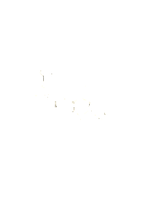 COc1cc([N+](=O)[O-])ccc1OC(=O)[C@@H]1C[C@H]1C(=O)O